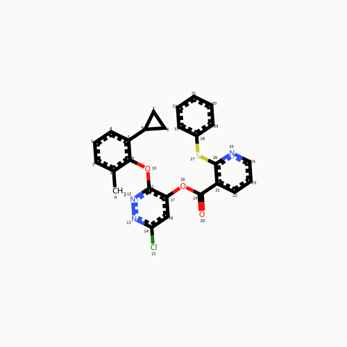 Cc1cccc(C2CC2)c1Oc1nnc(Cl)cc1OC(=O)c1cccnc1Sc1ccccc1